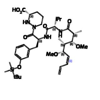 C=C/C=C\[C@H](OC)[C@H](C)[C@@H](OC)[C@@H](C)C(=O)N[C@H](C(=O)N[C@@H](Cc1cccc(O[Si](C)(C)C(C)(C)C)c1)C(=O)N1CCC[C@@H](C(=O)O)N1)C(C)C